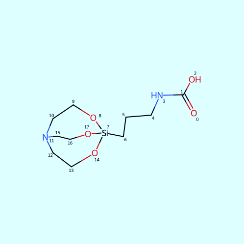 O=C(O)NCCC[Si]12OCCN(CCO1)CCO2